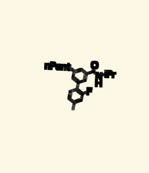 CCCCCc1cc(C(=O)NC(C)C)cc(-c2ccc(C)cc2F)c1